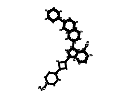 CN1CCN(C2CC(c3nc(-c4ccc5ccc(-c6ccccc6)nc5c4)c4c(Cl)nccn34)C2)CC1